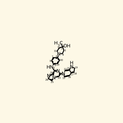 CC1(O)CCN(c2ccc(Nc3nc(N4C=CC5=CCNC5=C4)cn4ccnc34)cc2)CC1